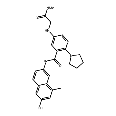 CNC(=O)CNc1cnc(N2CCCC2)c(C(=O)Nc2ccc3nc(O)cc(C)c3c2)c1